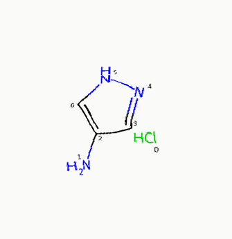 Cl.Nc1cn[nH]c1